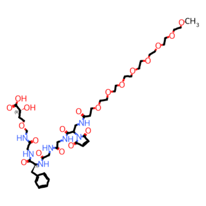 COCCOCCOCCOCCOCCOCCOCCOCCC(=O)NCC(C(=O)NCC(=O)NCC(=O)N[C@@H](Cc1ccccc1)C(=O)NCC(=O)NCOCC[C@@H](O)C(=O)O)N1C(=O)C=CC1=O